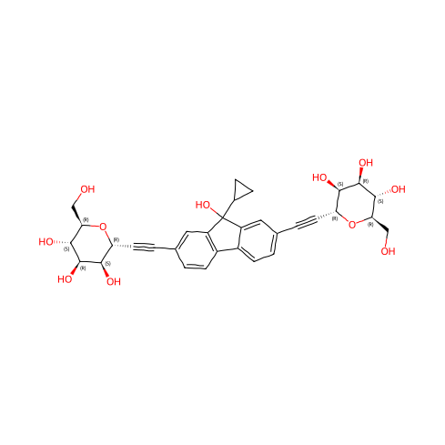 OC[C@H]1O[C@H](C#Cc2ccc3c(c2)C(O)(C2CC2)c2cc(C#C[C@H]4O[C@H](CO)[C@@H](O)[C@H](O)[C@@H]4O)ccc2-3)[C@@H](O)[C@@H](O)[C@@H]1O